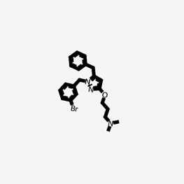 CN(C)CCCOc1cc(Cc2ccccc2)n(Cc2cccc(Br)c2)n1